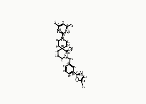 Cc1cc(C)nc(N2CCC3(CCCN(Cc4cccc(-c5ncc(C)o5)c4)C3=O)CC2)n1